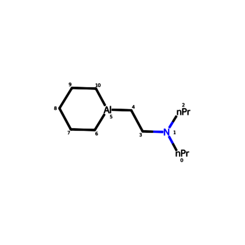 CCCN(CCC)C[CH2][Al]1[CH2]CCC[CH2]1